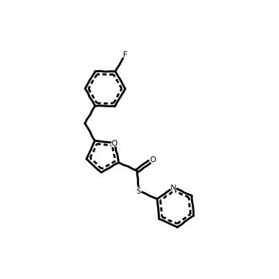 O=C(Sc1ccccn1)c1ccc(Cc2ccc(F)cc2)o1